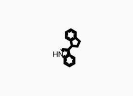 [c]1[nH]c2ccccc2c1C1CCc2ccccc21